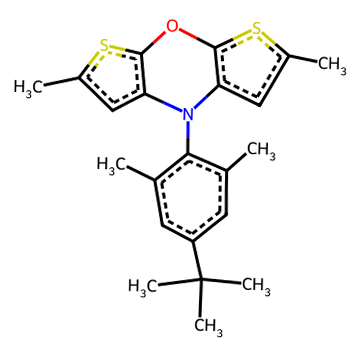 Cc1cc2c(s1)Oc1sc(C)cc1N2c1c(C)cc(C(C)(C)C)cc1C